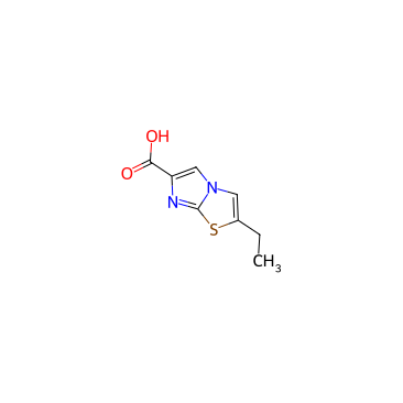 CCc1cn2cc(C(=O)O)nc2s1